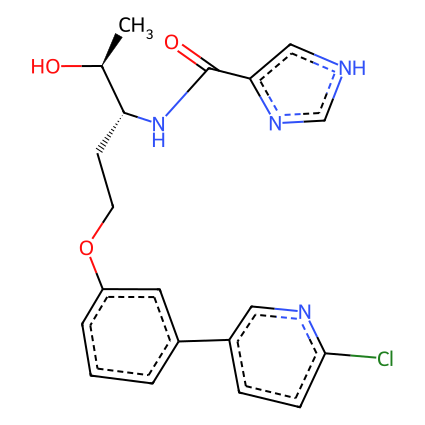 C[C@H](O)[C@@H](CCOc1cccc(-c2ccc(Cl)nc2)c1)NC(=O)c1c[nH]cn1